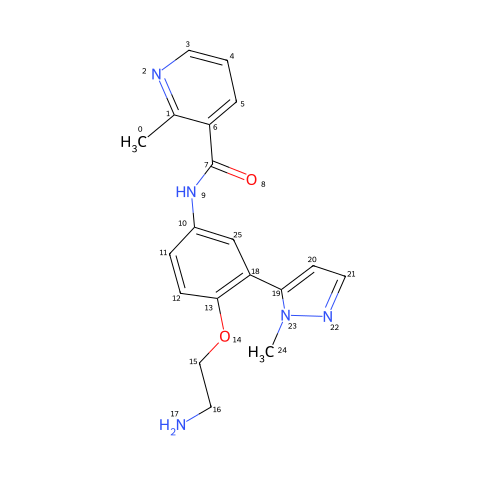 Cc1ncccc1C(=O)Nc1ccc(OCCN)c(-c2ccnn2C)c1